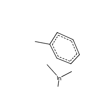 Cc1ccccc1.[CH3][In]([CH3])[CH3]